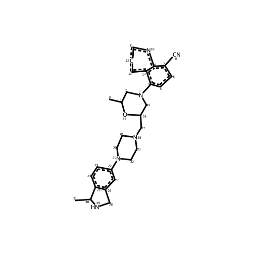 CC1CN(c2ccc(C#N)c3ncccc23)CC(CN2CCN(c3ccc4c(c3)CNC4C)CC2)O1